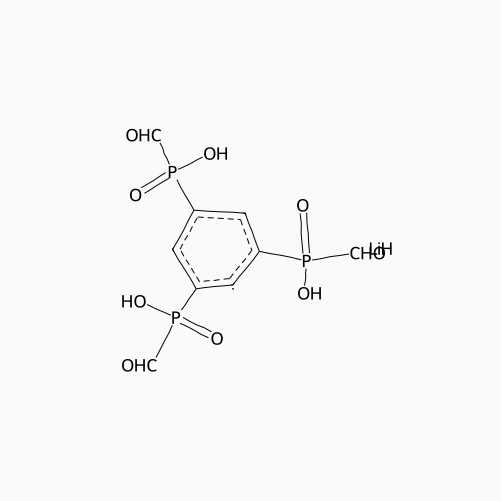 O=CP(=O)(O)c1[c]c(P(=O)(O)C=O)cc(P(=O)(O)C=O)c1.[LiH]